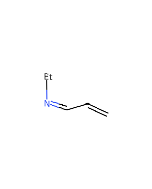 C=C/C=N\CC